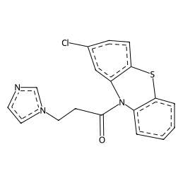 O=C(CCn1ccnc1)N1c2ccccc2Sc2ccc(Cl)cc21